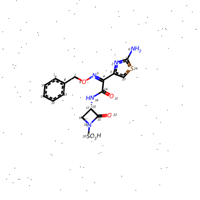 Nc1nc(C(=NOCc2ccccc2)C(=O)N[C@H]2CN(S(=O)(=O)O)C2=O)cs1